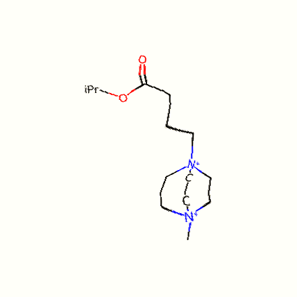 CC(C)OC(=O)CCC[N+]12CC[N+](C)(CC1)CC2